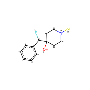 OC1(C(F)c2ccccc2)CCN(S)CC1